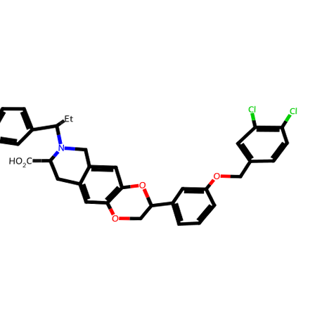 CCC(c1ccccc1)N1Cc2cc3c(cc2CC1C(=O)O)OCC(c1cccc(OCc2ccc(Cl)c(Cl)c2)c1)O3